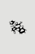 C1CCOC1.O=C1Nc2ccc(Cl)cc2C(c2ccccc2Cl)=NC1O